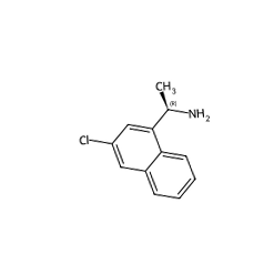 C[C@@H](N)c1cc(Cl)cc2ccccc12